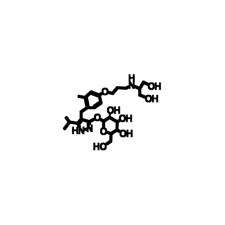 Cc1cc(OCCCNC(CO)CO)ccc1Cc1c(OC2OC(CO)C(O)C(O)[C@H]2O)n[nH]c1C(C)C